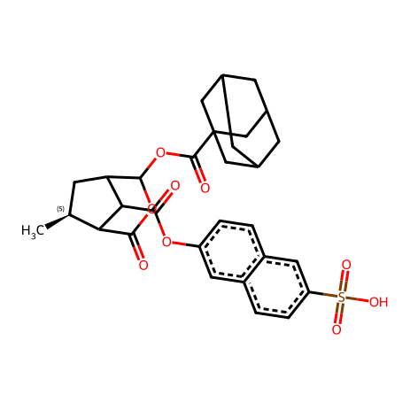 C[C@H]1CC2C(OC(=O)C34CC5CC(CC(C5)C3)C4)OC(=O)C1C2C(=O)Oc1ccc2cc(S(=O)(=O)O)ccc2c1